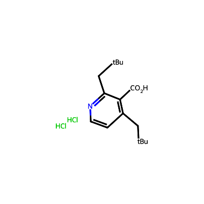 CC(C)(C)Cc1ccnc(CC(C)(C)C)c1C(=O)O.Cl.Cl